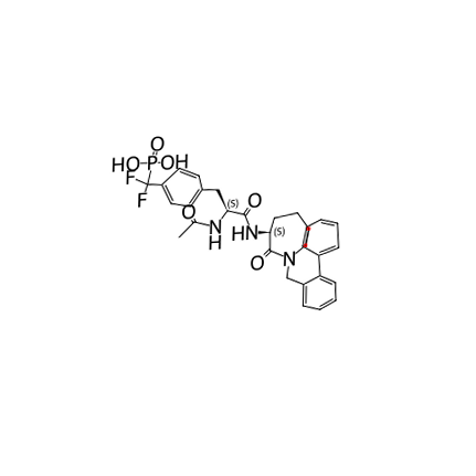 CC(=O)N[C@@H](Cc1ccc(C(F)(F)P(=O)(O)O)cc1)C(=O)N[C@H]1CCCCN(Cc2ccccc2-c2ccccc2)C1=O